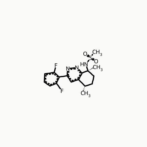 C[C@H]1CC[C@](C)(NS(C)(=O)=O)c2nnc(-c3c(F)cccc3F)cc21